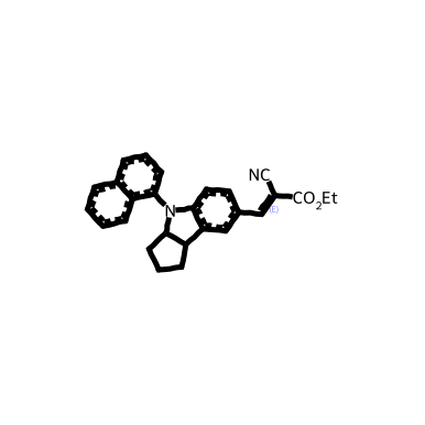 CCOC(=O)/C(C#N)=C/c1ccc2c(c1)C1CCCC1N2c1cccc2ccccc12